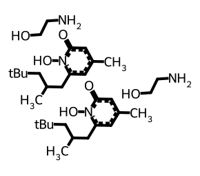 Cc1cc(CC(C)CC(C)(C)C)n(O)c(=O)c1.Cc1cc(CC(C)CC(C)(C)C)n(O)c(=O)c1.NCCO.NCCO